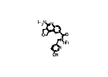 CCCN(Cc1ccc(C#N)cn1)C(=O)c1ccc2nc(N)c3c(c2c1)COC3